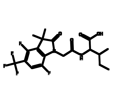 CCC(C)C(NC(=O)CN1C(=O)C(C)(C)c2c(F)c(C(F)(F)F)cc(F)c21)C(=O)O